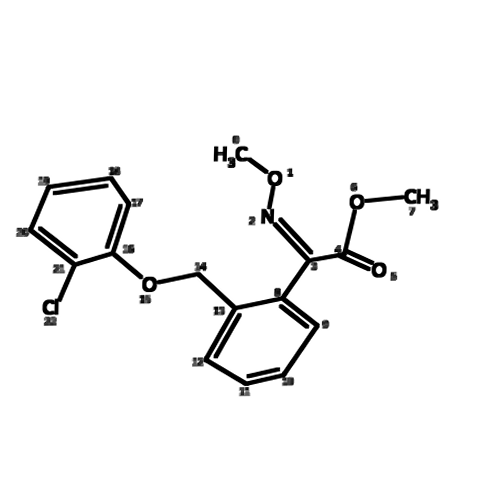 CON=C(C(=O)OC)c1ccccc1COc1ccccc1Cl